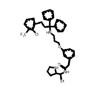 CCC(NC(=O)Cc1cccc(OCCCNC(CCc2cccc(C(F)(F)F)c2Cl)(c2ccccc2)c2ccccc2)c1)C1CCCN1